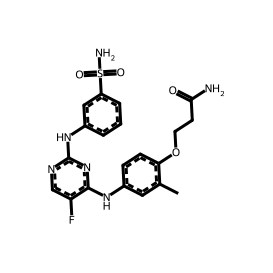 Cc1cc(Nc2nc(Nc3cccc(S(N)(=O)=O)c3)ncc2F)ccc1OCCC(N)=O